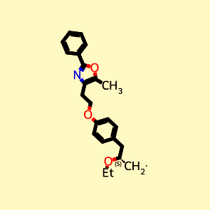 [CH2][C@@H](Cc1ccc(OCCc2nc(-c3ccccc3)oc2C)cc1)OCC